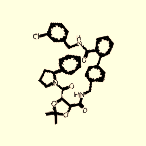 CC1(C)OC(C(=O)NCc2ccc(-c3ccccc3C(=O)NCc3cccc(Cl)c3)cc2)[C@H](C(=O)N2CCCC2c2ccccc2)O1